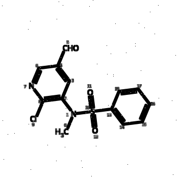 CN(c1cc(C=O)cnc1Cl)S(=O)(=O)c1ccccc1